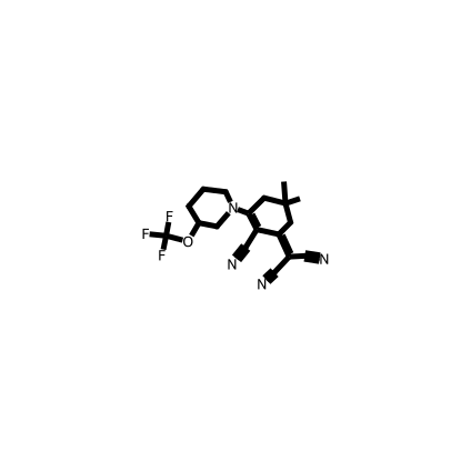 CC1(C)CC(=C(C#N)C#N)C(C#N)=C(N2CCCC(OC(F)(F)F)C2)C1